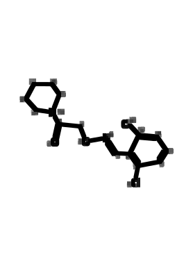 O=C(CO/N=C/c1c(Cl)cccc1Cl)N1CCCCC1